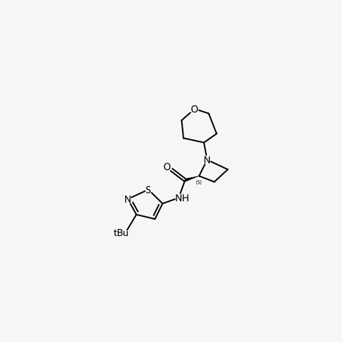 CC(C)(C)c1cc(NC(=O)[C@@H]2CCN2C2CCOCC2)sn1